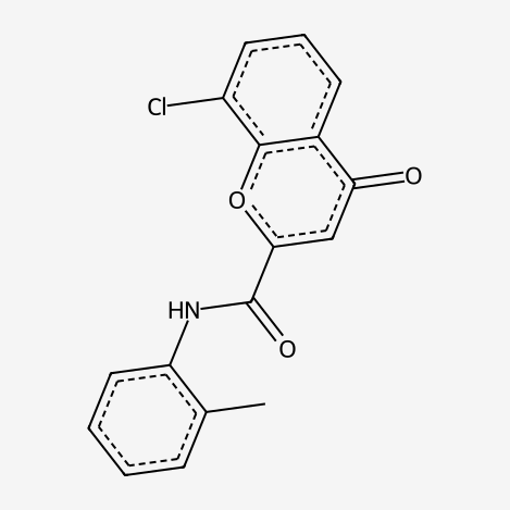 Cc1ccccc1NC(=O)c1cc(=O)c2cccc(Cl)c2o1